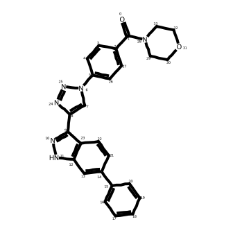 O=C(c1ccc(-n2cc(-c3n[nH]c4cc(-c5ccccc5)ccc34)nn2)cc1)N1CCOCC1